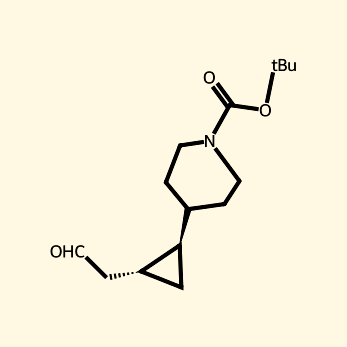 CC(C)(C)OC(=O)N1CCC([C@H]2C[C@@H]2CC=O)CC1